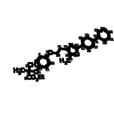 CCOC(=O)C(C)(C)Oc1ccc(OCCc2nc(-c3ccc(-c4cccnc4)cc3)oc2C)cc1